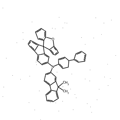 CC1(C)c2ccccc2-c2ccc(N(C3=CCC(c4ccccc4)C=C3)c3ccc4c(c3)C3(c5ccccc5Oc5ccccc53)c3ccccc3-4)cc21